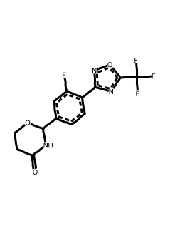 O=C1CCOC(c2ccc(-c3noc(C(F)(F)F)n3)c(F)c2)N1